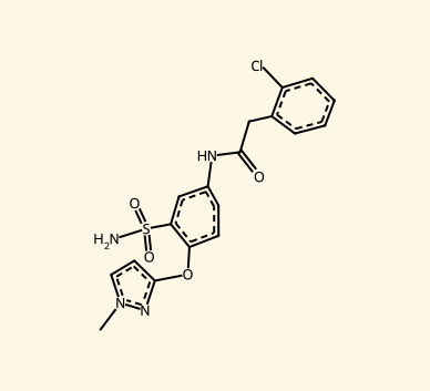 Cn1ccc(Oc2ccc(NC(=O)Cc3ccccc3Cl)cc2S(N)(=O)=O)n1